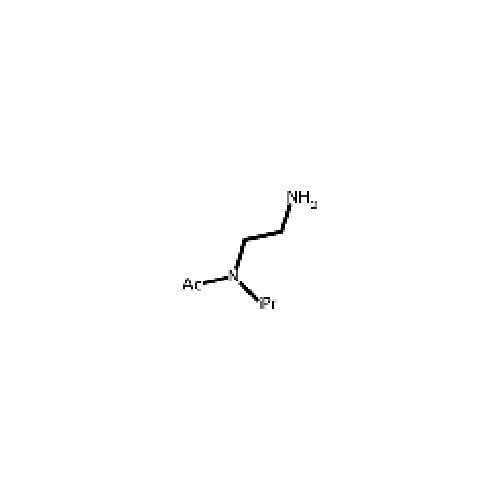 CC(=O)N(CCN)C(C)C